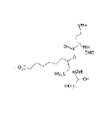 CCCCCCCCC(O)C(=O)O.CSCC[C@H](NC=O)C(=O)OC(CCCCCCC(=O)O)CC(=O)O